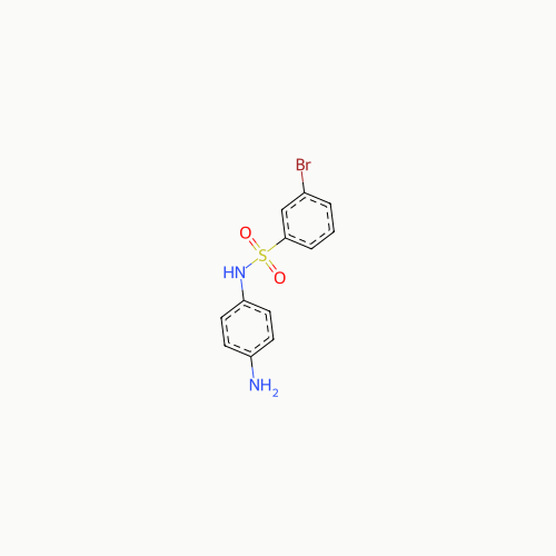 Nc1ccc(NS(=O)(=O)c2cccc(Br)c2)cc1